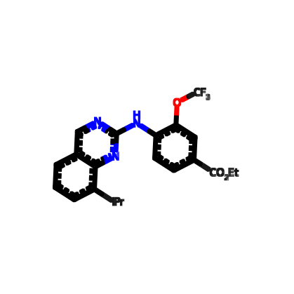 CCOC(=O)c1ccc(Nc2ncc3cccc(C(C)C)c3n2)c(OC(F)(F)F)c1